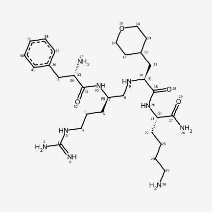 N=C(N)NCCC[C@H](CN[C@@H](CC1CCOCC1)C(=O)N[C@@H](CCCCN)C(N)=O)NC(=O)[C@@H](N)Cc1ccccc1